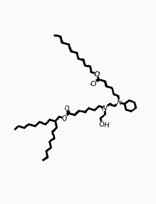 CCCCCCCCCCCOC(=O)CCCCCN(CCN(CCO)CCCCCCC(=O)OCC(CCCCCCCC)CCCCCCCC)C1CCCCC1